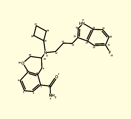 NC(=O)c1cccc2c1CC(N(CCCc1c[nH]c3ccc(F)cc13)C1CCC1)CO2